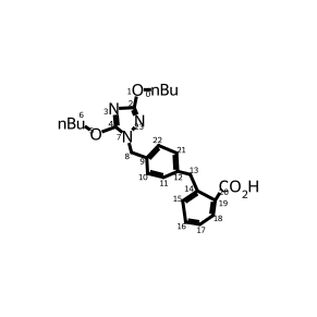 CCCCOc1nc(OCCCC)n(Cc2ccc(Cc3ccccc3C(=O)O)cc2)n1